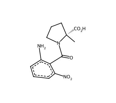 C[C@]1(C(=O)O)CCCN1C(=O)c1c(N)cccc1[N+](=O)[O-]